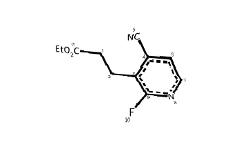 CCOC(=O)CCc1c(C#N)ccnc1F